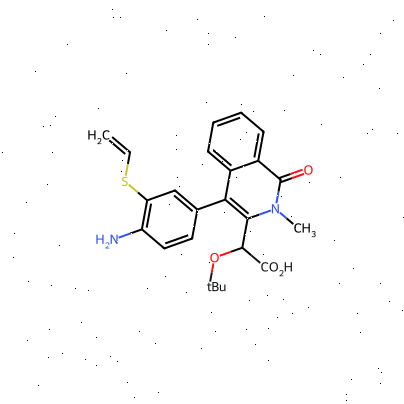 C=CSc1cc(-c2c(C(OC(C)(C)C)C(=O)O)n(C)c(=O)c3ccccc23)ccc1N